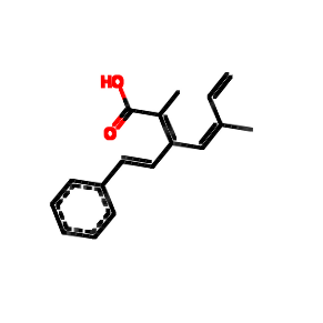 C=CC(C)=CC(C=Cc1ccccc1)=C(C)C(=O)O